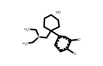 CCN(CC)CC1(c2ccc(Cl)c(Cl)c2)CCCCC1.Cl